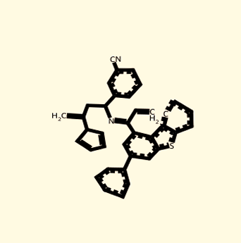 C=C/C(=N\C(CC(=C)C1C=CC=C1)c1cccc(C#N)c1)c1cc(-c2ccccc2)cc2sc3ccccc3c12